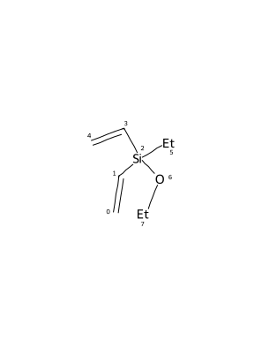 C=C[Si](C=C)(CC)OCC